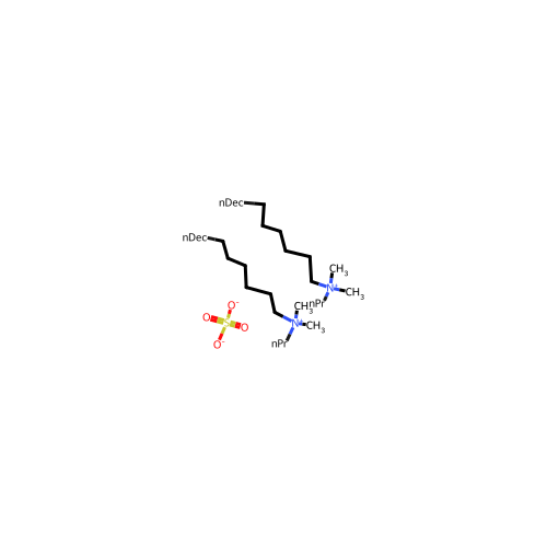 CCCCCCCCCCCCCCCC[N+](C)(C)CCC.CCCCCCCCCCCCCCCC[N+](C)(C)CCC.O=S(=O)([O-])[O-]